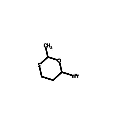 CCCC1CCSC(C)O1